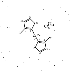 CC1=[C]([Zr+2][C]2=C(C)C=CC2)CC=C1.[Cl-].[Cl-]